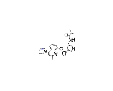 C=CN(/C=C\C)c1cc(C)nc2c(OCc3c(Cl)cncc3CNC(=O)C(C)C)cccc12